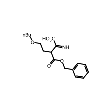 CCCCOCCC(C(=N)C(=O)O)C(=O)OCc1ccccc1